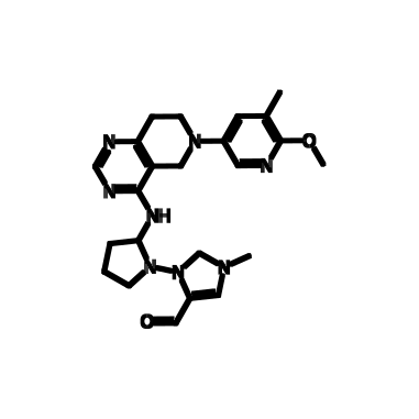 COc1ncc(N2CCc3ncnc(NC4CCCN4N4CN(C)C=C4C=O)c3C2)cc1C